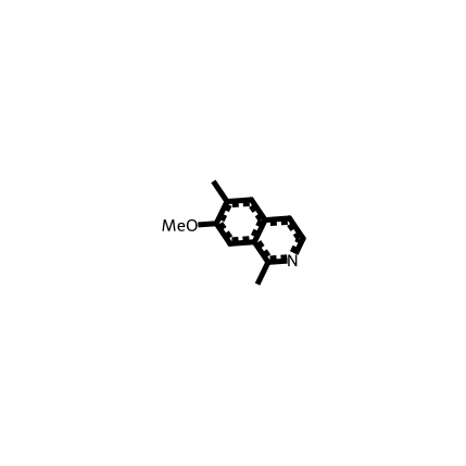 COc1cc2c(C)nccc2cc1C